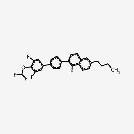 CCCCc1ccc2c(F)c(-c3ccc(-c4cc(F)c(OC(F)F)c(F)c4)cc3)ccc2c1